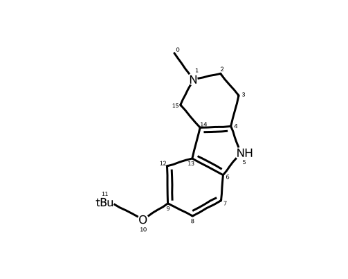 CN1CCc2[nH]c3ccc(OC(C)(C)C)cc3c2C1